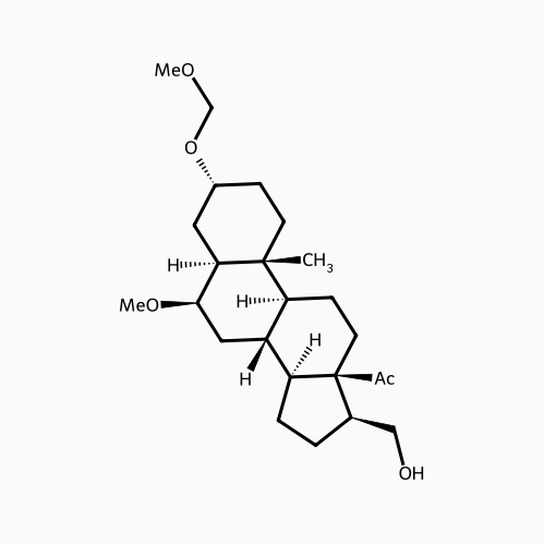 COCO[C@@H]1CC[C@@]2(C)[C@H](C1)[C@H](OC)C[C@@H]1[C@@H]2CC[C@]2(C(C)=O)[C@@H](CO)CC[C@@H]12